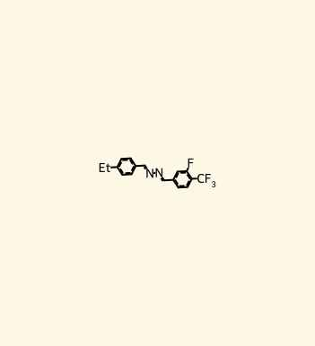 CCc1ccc(C=NN=Cc2ccc(C(F)(F)F)c(F)c2)cc1